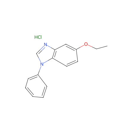 CCOc1ccc2c(c1)ncn2-c1ccccc1.Cl